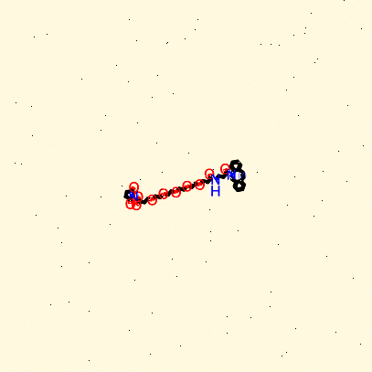 O=C(CCOCCOCCOCCOCCOCCC(=O)ON1C(=O)CCC1=O)NCCC(=O)N1Cc2ccccc2/C=C\c2ccccc21